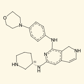 C1=Cc2cc(N[C@H]3CCCNC3)nc(Nc3ccc(N4CCOCC4)cc3)c2CN1